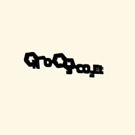 CCOC(=O)c1cc2ccc(OCc3ccccn3)cc2s1